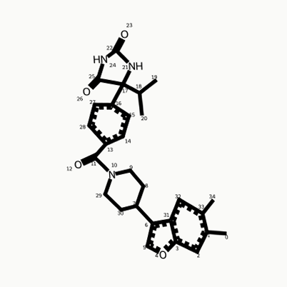 Cc1cc2occ(C3CCN(C(=O)c4ccc(C5(C(C)C)NC(=O)NC5=O)cc4)CC3)c2cc1C